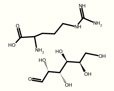 N=C(N)NCCCC(N)C(=O)O.O=C[C@H](O)[C@@H](O)[C@@H](O)[C@H](O)CO